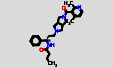 CCCC(=O)N[C@@H](CCN1CC2CN(C(=O)c3c(C)ccnc3C)CC2C1)c1ccccc1